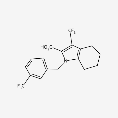 O=C(O)c1c(C(F)(F)F)c2c(n1Cc1cccc(C(F)(F)F)c1)CCCC2